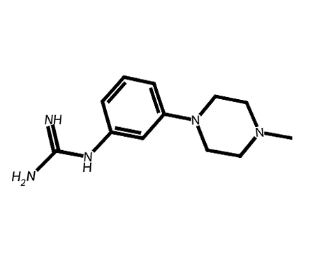 CN1CCN(c2cccc(NC(=N)N)c2)CC1